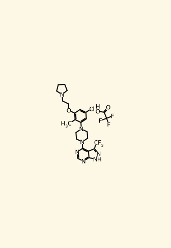 Cc1c(OCCN2CCCC2)cc(Cl)cc1N1CCN(c2ncnc3[nH]nc(C(F)(F)F)c23)CC1.O=C(O)C(F)(F)F